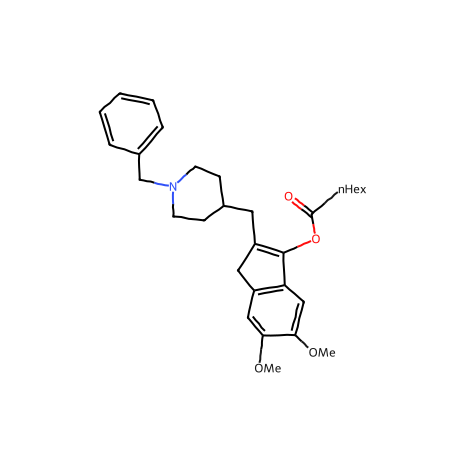 CCCCCCC(=O)OC1=C(CC2CCN(Cc3ccccc3)CC2)Cc2cc(OC)c(OC)cc21